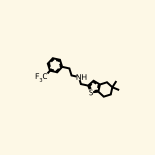 CC1(C)CCc2sc(CNCCc3cccc(C(F)(F)F)c3)cc2C1